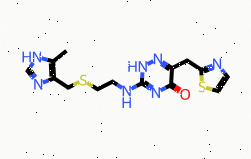 Cc1[nH]cnc1CSCCNc1nc(=O)c(Cc2nccs2)n[nH]1